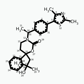 Cc1nc(C)c(-c2ccc([C@H](C)N3CCC(CC(C)(C)O)(c4ccccc4)OC3=O)cc2)s1